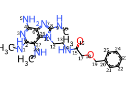 CNc1nc(N)c2nc(NC)n(CCNC(=O)COCc3ccccc3)c2c1NC